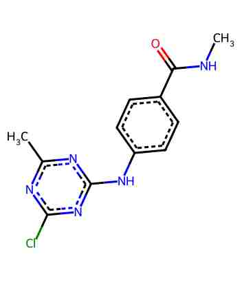 CNC(=O)c1ccc(Nc2nc(C)nc(Cl)n2)cc1